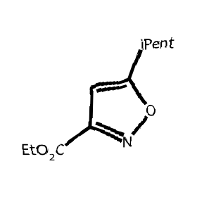 CCCC(C)c1cc(C(=O)OCC)no1